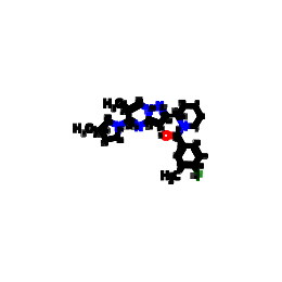 Cc1cc(C(=O)N2CCCC[C@H]2c2cc3nc(N4CC[C@H](C)C4)c(C)cn3n2)ccc1F